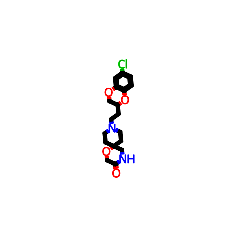 O=C1COC2(CCN(CCC3COc4cc(Cl)ccc4O3)CC2)CN1